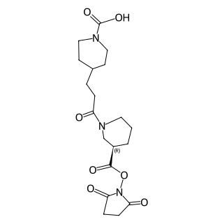 O=C(ON1C(=O)CCC1=O)[C@@H]1CCCN(C(=O)CCC2CCN(C(=O)O)CC2)C1